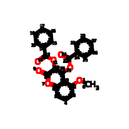 COc1cccc2oc(=O)c(OC(=O)c3ccccc3)c(OC(=O)c3ccccc3)c12